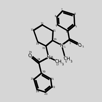 CN(C(=O)c1ccccc1)C1CCCCC1N(C)C(=O)c1ccccc1